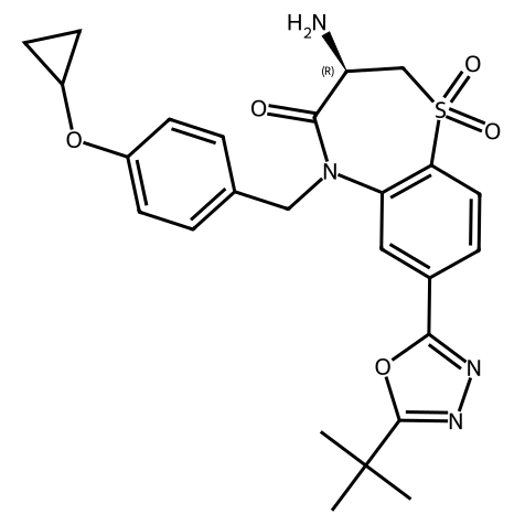 CC(C)(C)c1nnc(-c2ccc3c(c2)N(Cc2ccc(OC4CC4)cc2)C(=O)[C@@H](N)CS3(=O)=O)o1